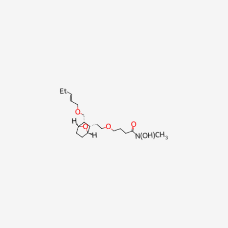 CCC=CCOC[C@@H]1[C@H](CCOCCCC(=O)N(C)O)[C@@H]2CC[C@H]1O2